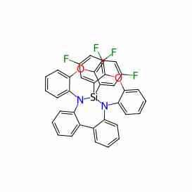 Fc1cc(F)c2c(c1)[Si]13c4cc(F)cc(F)c4Oc4ccccc4N1c1ccccc1-c1ccccc1N3c1ccccc1O2